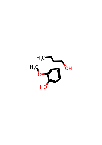 CCCCO.COc1ccccc1O